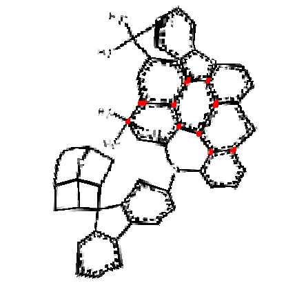 CC(C)(C)c1cc(-c2cccc3cccc(-c4ccccc4N(c4ccc5c(c4)C4(c6ccccc6-5)C5CC6CC7CC4C75C6)c4ccccc4-c4ccc5c(c4)oc4ccccc45)c23)cc(C(C)(C)C)c1